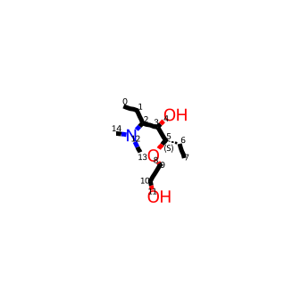 CCC(C(O)[C@H](CC)OCCO)N(C)C